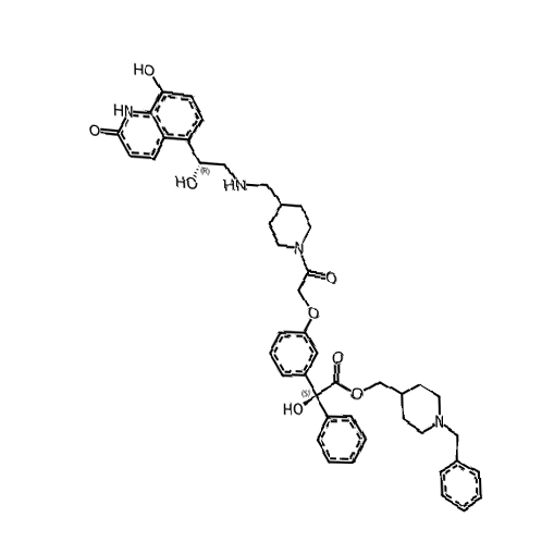 O=C(COc1cccc([C@](O)(C(=O)OCC2CCN(Cc3ccccc3)CC2)c2ccccc2)c1)N1CCC(CNC[C@H](O)c2ccc(O)c3[nH]c(=O)ccc23)CC1